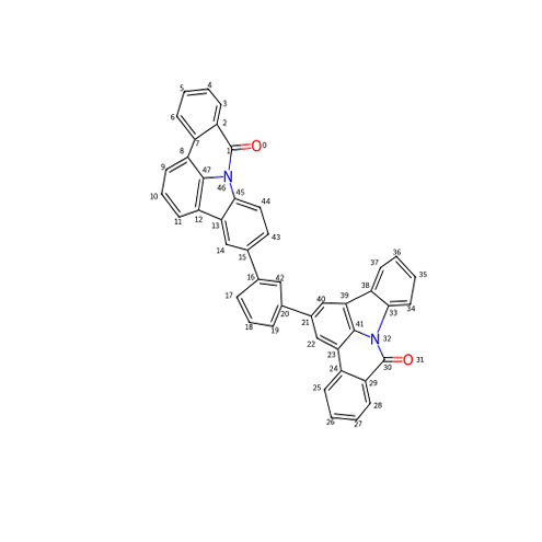 O=c1c2ccccc2c2cccc3c4cc(-c5cccc(-c6cc7c8ccccc8c(=O)n8c9ccccc9c(c6)c78)c5)ccc4n1c23